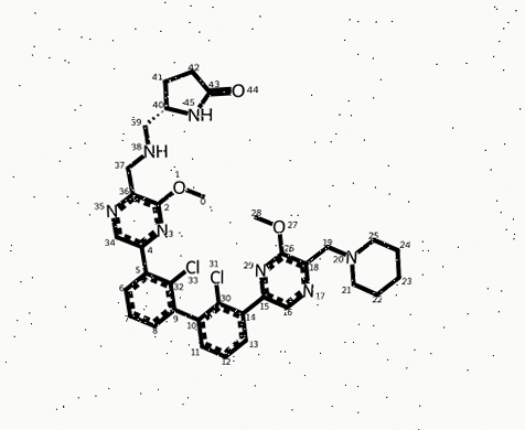 COc1nc(-c2cccc(-c3cccc(-c4cnc(CN5CCCCC5)c(OC)n4)c3Cl)c2Cl)cnc1CNC[C@@H]1CCC(=O)N1